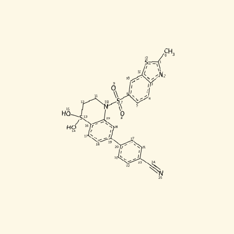 Cc1nc2ccc(S(=O)(=O)N3CCS(O)(O)c4ccc(-c5ccc(C#N)cc5)cc43)cc2s1